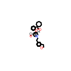 O=C(O[C@H]1C[N+]2(CCc3ccc4c(c3)CCO4)CCC1CC2)C1(c2ccccc2)CCCCCC1.O=C[O-]